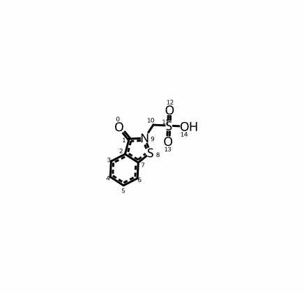 O=c1c2ccccc2sn1CS(=O)(=O)O